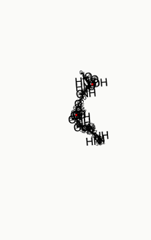 CCCC(=O)N[C@@H](CS(=O)(=O)O)C(=O)NCCNC(=O)CCCOc1cc(C)c(S(=O)(=O)N[C@@H](CNC(=O)c2ccc3c(cnn3CCCNc3ncc[nH]3)c2)C(=O)O)c(C)c1